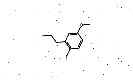 CCCc1cc(OC)ccc1I